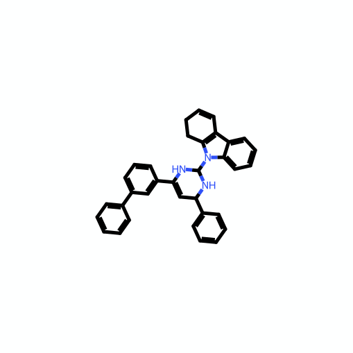 C1=Cc2c(n(C3NC(c4cccc(-c5ccccc5)c4)=CC(c4ccccc4)N3)c3ccccc23)CC1